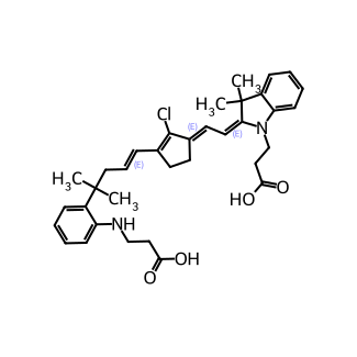 CC(C)(C/C=C/C1=C(Cl)C(=C/C=C2/N(CCC(=O)O)c3ccccc3C2(C)C)/CC1)c1ccccc1NCCC(=O)O